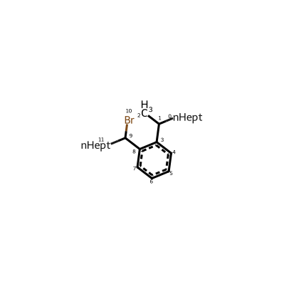 CCCCCCCC(C)c1ccccc1C(Br)CCCCCCC